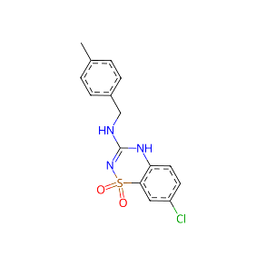 Cc1ccc(CNC2=NS(=O)(=O)c3cc(Cl)ccc3N2)cc1